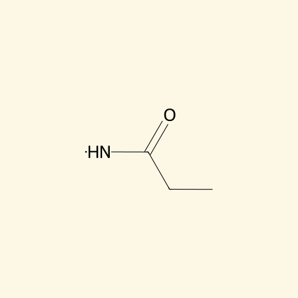 CCC([NH])=O